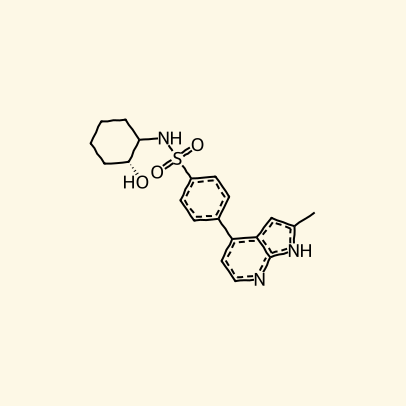 Cc1cc2c(-c3ccc(S(=O)(=O)NC4CCCC[C@H]4O)cc3)ccnc2[nH]1